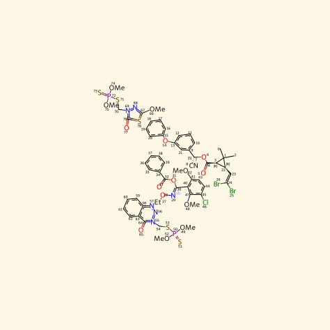 CC1(C)[C@H](C(=O)O[C@H](C#N)c2cccc(Oc3ccccc3)c2)[C@@H]1C=C(Br)Br.CCO/N=C(\OC(=O)c1ccccc1)c1c(OC)ccc(Cl)c1OC.COP(=S)(OC)SCn1nnc2ccccc2c1=O.COc1nn(CSP(=S)(OC)OC)c(=O)s1